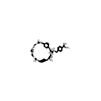 N=C(N)c1ccc(CNC(=O)[C@@H]2Cc3ccc(cc3)NC(=O)CCN3CCN(CCC(=O)Nc4ccc(cc4)C[C@@H](N)C(=O)N2)CC3)cc1